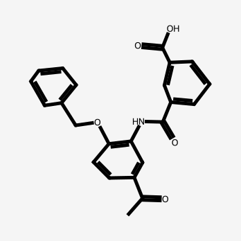 CC(=O)c1ccc(OCc2ccccc2)c(NC(=O)c2cccc(C(=O)O)c2)c1